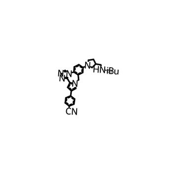 CC[C@H](C)NCC1CCN(c2ccc3c(c2)Cn2cc(-c4ccc(C#N)cc4)cc2-c2nncn2-3)C1